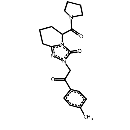 Cc1ccc(C(=O)Cn2nc3n(c2=O)C(C(=O)N2CCCC2)CCC3)cc1